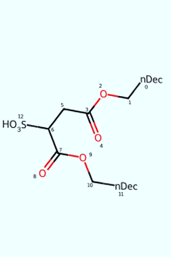 CCCCCCCCCCCOC(=O)CC(C(=O)OCCCCCCCCCCC)S(=O)(=O)O